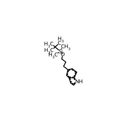 CC(C)(C)[Si](C)(C)OCCCc1ccc2[nH]ccc2c1